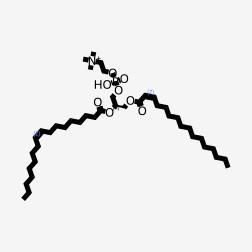 CCCCCCCC/C=C\CCCCCCCC(=O)O[C@H](COC(=O)/C=C\CCCCCCCCCCCCC)COP(=O)(O)OCC[N+](C)(C)C